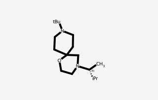 CC(C)[C@@H](C)N1CCOC2(CCN(C(C)(C)C)CC2)C1